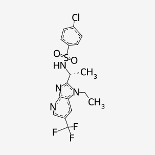 CCn1c([C@@H](C)NS(=O)(=O)c2ccc(Cl)cc2)nc2ncc(C(F)(F)F)cc21